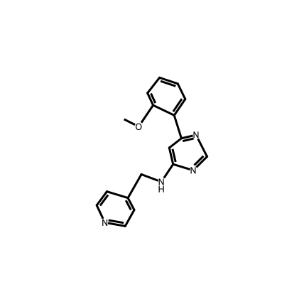 COc1ccccc1-c1cc(NCc2ccncc2)ncn1